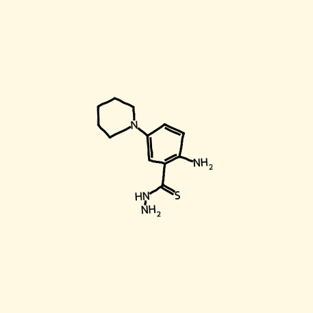 NNC(=S)c1cc(N2CCCCC2)ccc1N